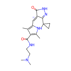 Cc1[nH]c(/C=C2/C(=O)NN=C2C2(C)CC2)c(C)c1C(=O)NCCN(C)C